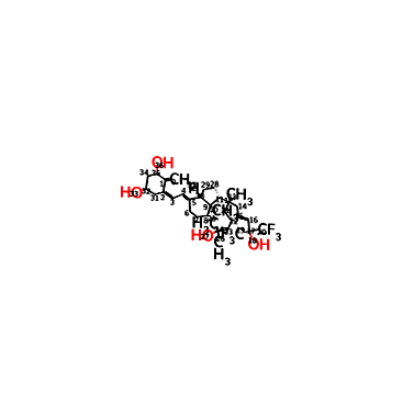 C=C1/C(=C\C=C2/CCC[C@]3(C)[C@@H]([C@](C)(C/C=C/C(O)(C(F)(F)F)C(F)(F)F)CCCC(C)(C)O)CC[C@@H]23)C[C@@H](O)CC1O